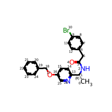 C[C@@H](NC(=O)Cc1ccc(Br)cc1)c1ccc(OCc2ccccc2)cn1